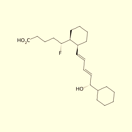 O=C(O)CCC[C@@H](F)[C@H]1CCCC[C@H]1/C=C/C=C/[C@@H](O)C1CCCCC1